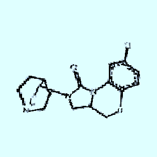 O=C1N(C2CN3CCC2CC3)CC2COc3ccc(Cl)cc3N12